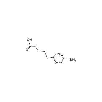 Nc1ccc(CCCCC(=O)O)cc1